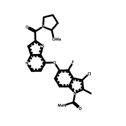 CNC(=O)n1c(C)c(Cl)c2c(F)c(Oc3ccnc4cc(C(=O)N5CCCC5OC)sc34)ccc21